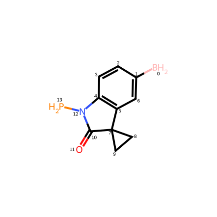 Bc1ccc2c(c1)C1(CC1)C(=O)N2P